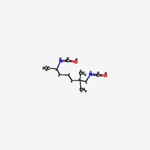 CC(CCCC(C)(C)CN=C=O)N=C=O